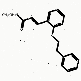 CN(O)C(=O)C=Cc1ccccc1SCCc1ccccc1